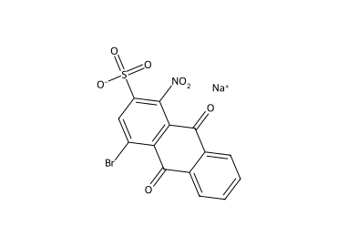 O=C1c2ccccc2C(=O)c2c1c(Br)cc(S(=O)(=O)[O-])c2[N+](=O)[O-].[Na+]